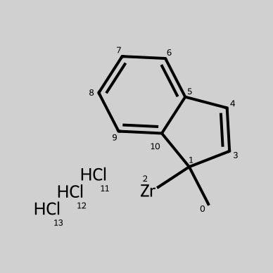 C[C]1([Zr])C=Cc2ccccc21.Cl.Cl.Cl